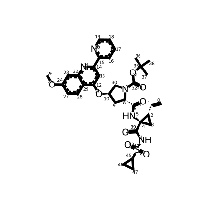 C=C[C@@H]1C[C@]1(NC(=O)[C@@H]1C[C@@H](Oc2cc(-c3ccccn3)nc3cc(OC)ccc23)CN1C(=O)OC(C)(C)C)C(=O)NS(=O)(=O)C1CC1